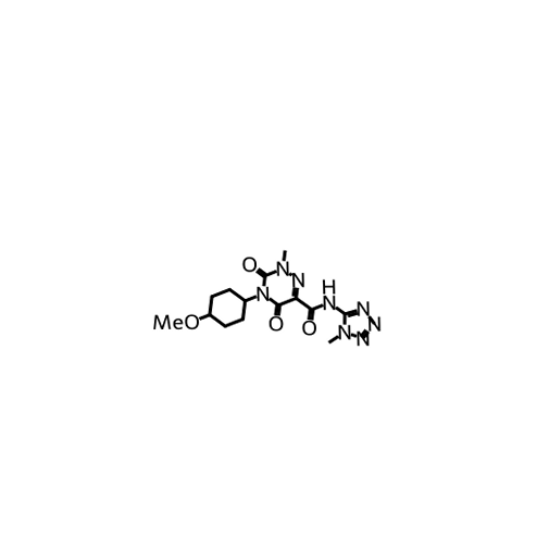 COC1CCC(n2c(=O)c(C(=O)Nc3nnnn3C)nn(C)c2=O)CC1